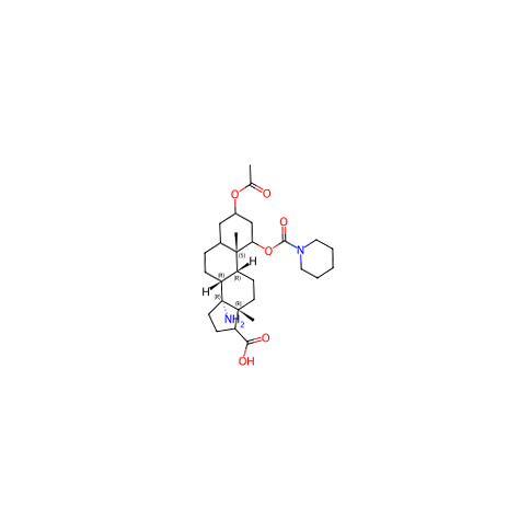 CC(=O)OC1CC2CC[C@@H]3[C@@H](CC[C@]4(C)C(C(=O)O)CC[C@@]34N)[C@@]2(C)C(OC(=O)N2CCCCC2)C1